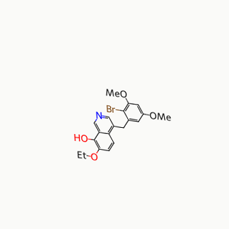 CCOc1ccc2c(Cc3cc(OC)cc(OC)c3Br)cncc2c1O